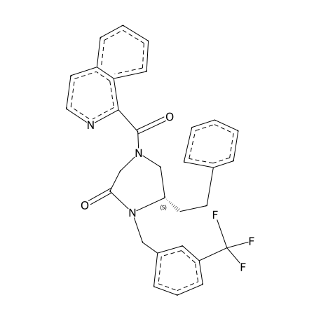 O=C(c1nccc2ccccc12)N1CC(=O)N(Cc2cccc(C(F)(F)F)c2)[C@@H](CCc2ccccc2)C1